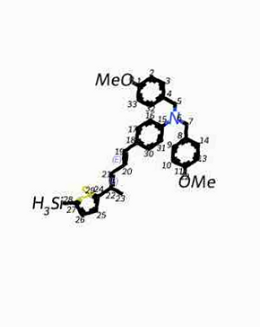 COc1ccc(CN(Cc2ccc(OC)cc2)c2ccc(/C=C/C=C(\C)c3ccc([SiH3])s3)cc2)cc1